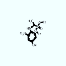 CCOP(=O)(OCC)C(C)Nc1ccc(C#N)cc1[N+](=O)[O-]